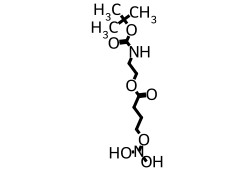 CC(C)(C)OC(=O)NCCOC(=O)CCCON(O)O